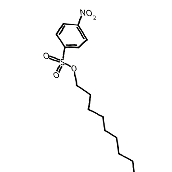 CCCCCCCCCCCCCCCCCCOS(=O)(=O)c1ccc([N+](=O)[O-])cc1